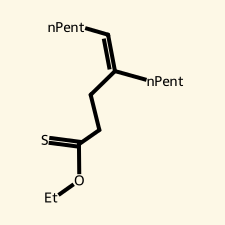 CCCCCC=C(CCCCC)CCC(=S)OCC